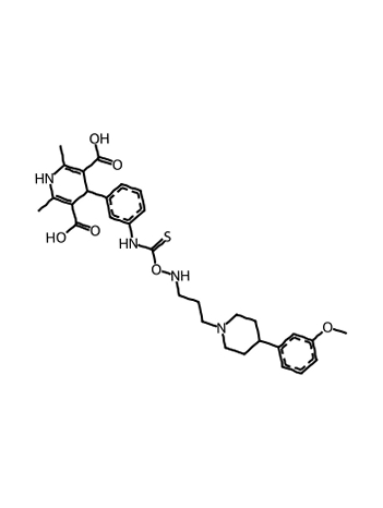 COc1cccc(C2CCN(CCCNOC(=S)Nc3cccc(C4C(C(=O)O)=C(C)NC(C)=C4C(=O)O)c3)CC2)c1